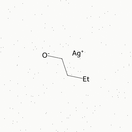 CCCC[O-].[Ag+]